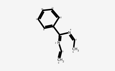 C=C/N=C(\N=C/C)c1ccccc1